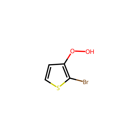 OOc1ccsc1Br